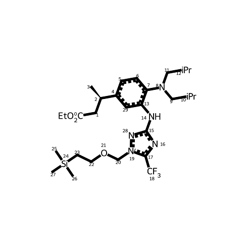 CCOC(=O)C[C@@H](C)c1ccc(N(CC(C)C)CC(C)C)c(Nc2nc(C(F)(F)F)n(COCC[Si](C)(C)C)n2)c1